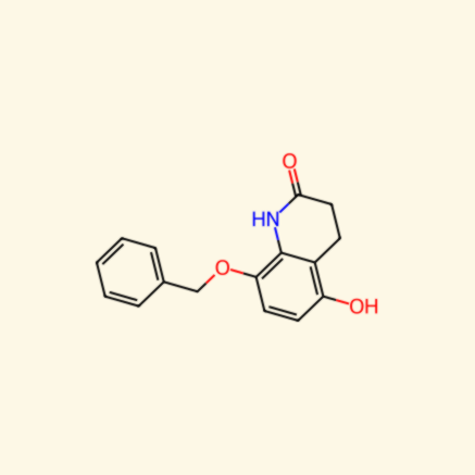 O=C1CCc2c(O)ccc(OCc3ccccc3)c2N1